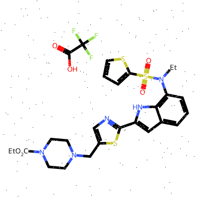 CCOC(=O)N1CCN(Cc2cnc(-c3cc4cccc(N(CC)S(=O)(=O)c5cccs5)c4[nH]3)s2)CC1.O=C(O)C(F)(F)F